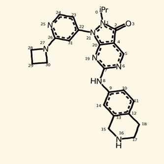 CC(C)n1c(=O)c2cnc(Nc3ccc4c(c3)CNCC4)nc2n1-c1ccnc(N2CCC2)c1